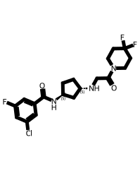 O=C(N[C@H]1CC[C@H](NCC(=O)N2CCC(F)(F)CC2)C1)c1cc(F)cc(Cl)c1